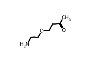 CC(=O)CCOCCN